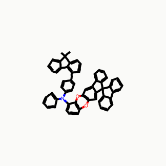 CC1(C)c2ccccc2-c2c(-c3ccc(N(c4ccccc4)c4cccc5c4Oc4cc6c(cc4O5)C4(c5ccccc5-c5ccccc54)c4ccccc4-6)cc3)cccc21